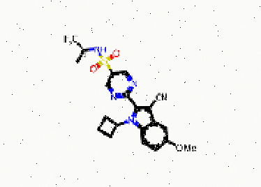 COc1ccc2c(c1)c(C#N)c(-c1ncc(S(=O)(=O)N[C@@H](C)C(F)(F)F)cn1)n2C1CCC1